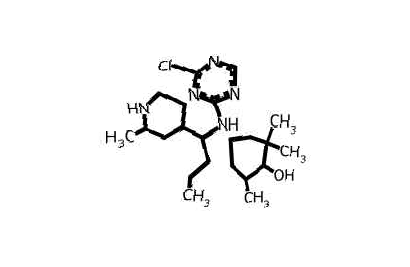 CC1CCCC(C)(C)C1O.CCCC(Nc1ncnc(Cl)n1)C1CCNC(C)C1